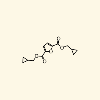 O=C(OCC1CC1)c1ccc(C(=O)OCC2CC2)o1